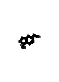 O=Cc1ccc2c(c1)COB2O